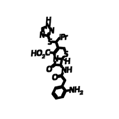 CC(C)C(Sc1nc[nH]n1)C1=C(C(=O)O)N2C(=O)C(NC(=O)Cc3ccccc3N)[C@@H]2SC1